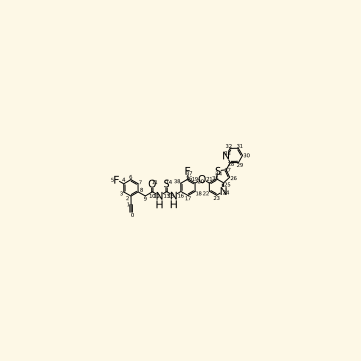 C#Cc1cc(F)ccc1CC(=O)NC(=S)Nc1ccc(Oc2ccnc3cc(-c4ccccn4)sc23)c(F)c1